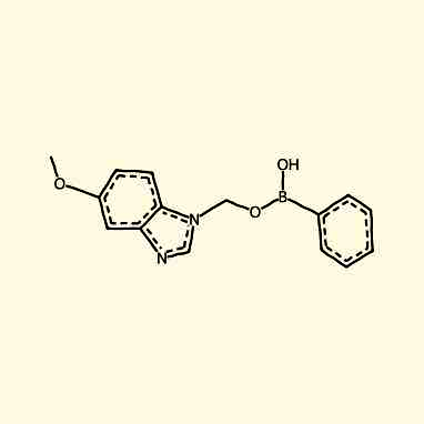 COc1ccc2c(c1)ncn2COB(O)c1ccccc1